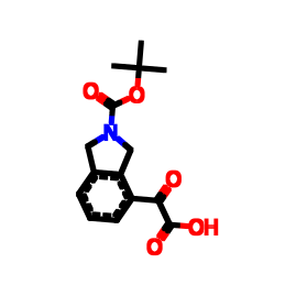 CC(C)(C)OC(=O)N1Cc2cccc(C(=O)C(=O)O)c2C1